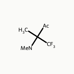 CNC(C)(C(C)=O)C(F)(F)F